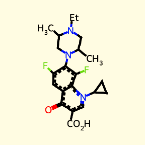 CCN1CC(C)N(c2c(F)cc3c(=O)c(C(=O)O)cn(C4CC4)c3c2F)CC1C